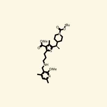 COC(=O)c1c(CCCNCc2c(C)cc(C)nc2OC)sc([C@H](C)C2CCN(C(=O)OC(C)(C)C)CC2)c1C